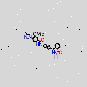 COc1cc(C(=O)N[C@H]2CC3(C2)C[C@H](c2n[nH]c(=O)c4ccccc42)C3)ccc1-n1cnc(C)c1